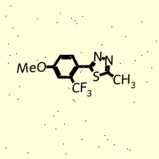 COc1ccc(-c2nnc(C)s2)c(C(F)(F)F)c1